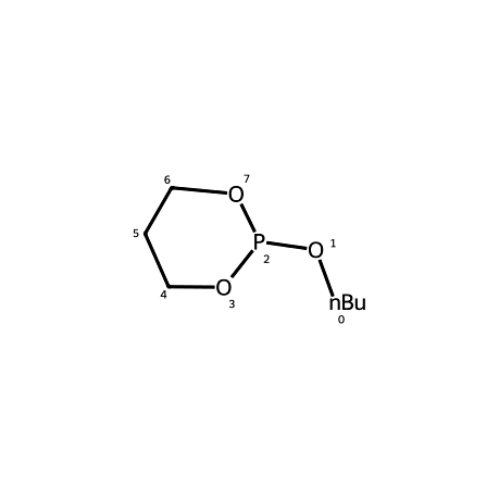 CCCCOP1OCCCO1